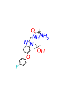 C[C@H](N)C(=O)NCc1nc2ccc(Oc3ccc(F)cc3)cc2n1CC(C)(C)O